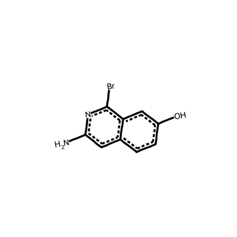 Nc1cc2ccc(O)cc2c(Br)n1